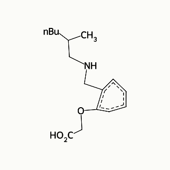 CCCCC(C)CNCc1ccccc1OCC(=O)O